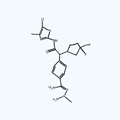 Cc1nc(NC(=O)C(c2ccc(/C(N)=N/N(C)N)cc2)C2CCC(F)(F)C2)sc1Cl